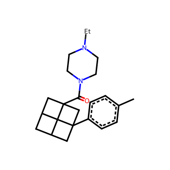 CCN1CCN(C(=O)C23CC4CC5CC(c6ccc(C)cc6)(C2)C453)CC1